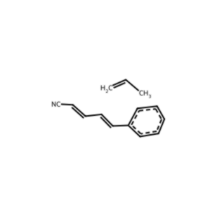 C=CC.N#CC=CC=Cc1ccccc1